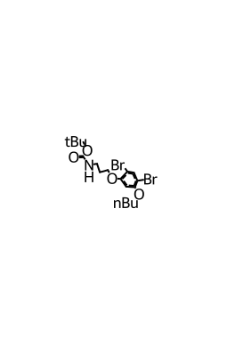 CCCCOc1cc(OCCCNC(=O)OC(C)(C)C)c(Br)cc1Br